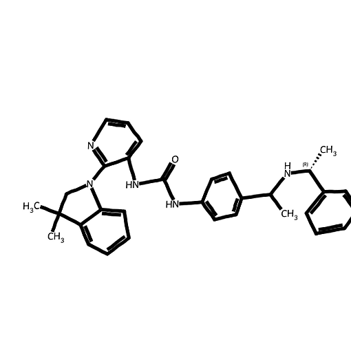 CC(N[C@H](C)c1ccccc1)c1ccc(NC(=O)Nc2cccnc2N2CC(C)(C)c3ccccc32)cc1